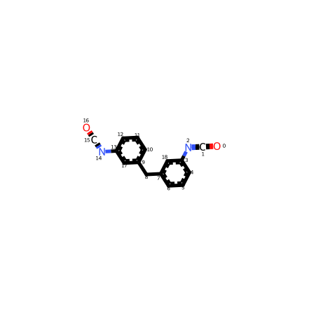 O=C=Nc1cccc(Cc2cccc(N=C=O)c2)c1